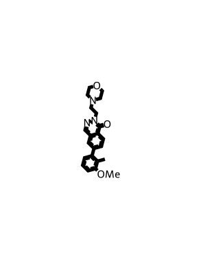 COc1cccc(-c2ccc3c(=O)n(CCN4CCOCC4)ncc3c2)c1C